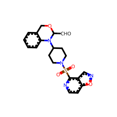 O=CC1OCc2ccccc2N1C1CCN(S(=O)(=O)c2nccc3oncc23)CC1